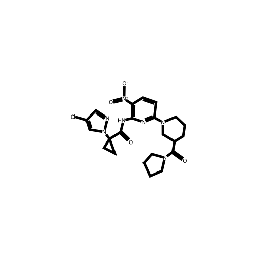 O=C(C1CCCN(c2ccc([N+](=O)[O-])c(NC(=O)C3(n4cc(Cl)cn4)CC3)n2)C1)N1CCCC1